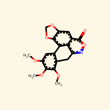 COc1cc2c(c(OC)c1OC)Cc1noc(=O)c3cc4c(c-2c13)OCO4